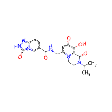 CC(C)N1CCn2c(CNC(=O)c3ccc4n[nH]c(=O)n4c3)cc(=O)c(O)c2C1=O